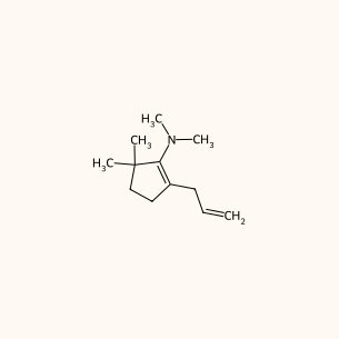 C=CCC1=C(N(C)C)C(C)(C)CC1